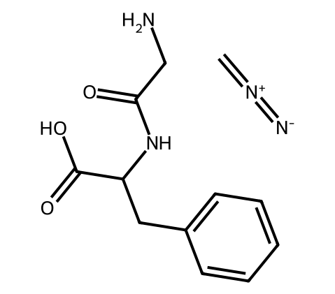 C=[N+]=[N-].NCC(=O)NC(Cc1ccccc1)C(=O)O